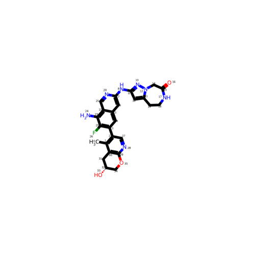 Cc1c(-c2cc3cc(Nc4cc5n(n4)CC(=O)NCC5)ncc3c(N)c2F)cnc2c1C[C@@H](O)CO2